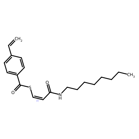 C=Cc1ccc(C(=O)S/C=C\C(=O)NCCCCCCCC)cc1